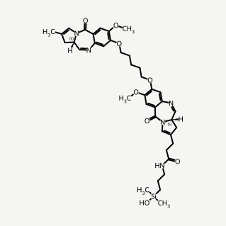 COc1cc2c(cc1OCCCCCOc1cc3c(cc1OC)C(=O)N1C=C(CCC(=O)NCCC[Si](C)(C)O)C[C@H]1C=N3)N=C[C@@H]1CC(C)=CN1C2=O